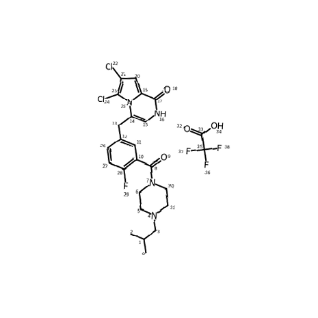 CC(C)CN1CCN(C(=O)c2cc(Cc3c[nH]c(=O)c4cc(Cl)c(Cl)n34)ccc2F)CC1.O=C(O)C(F)(F)F